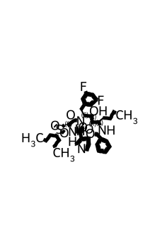 CCCC[C@@H](NC(=O)c1ccccc1)[C@@H](O)[C@H](O)[C@H](Cc1cc(F)cc(F)c1)NC(=O)[C@@H](CS(=O)(=O)C(CCC)CCC)NC(=O)c1cccnc1